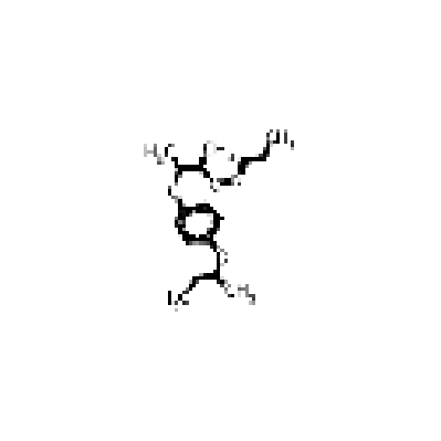 CC/C=N/OC(C)C(C)Oc1ccc(OC(C)CC)cc1